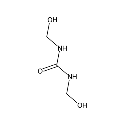 O=C(NCO)NCO